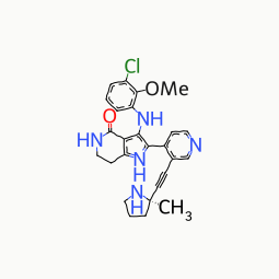 COc1c(Cl)cccc1Nc1c(-c2ccncc2C#C[C@@]2(C)CCCN2)[nH]c2c1C(=O)NCC2